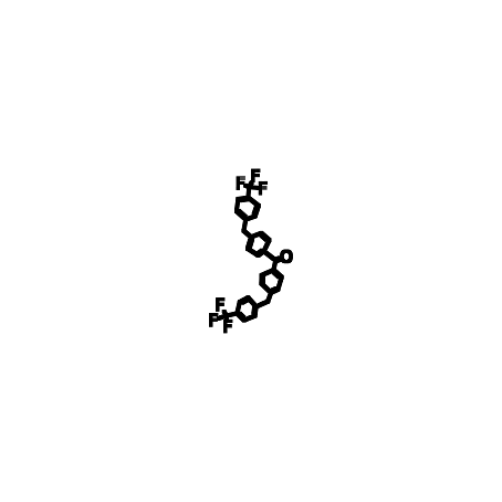 O=C(c1ccc(Cc2ccc(C(F)(F)F)cc2)cc1)c1ccc(Cc2ccc(C(F)(F)F)cc2)cc1